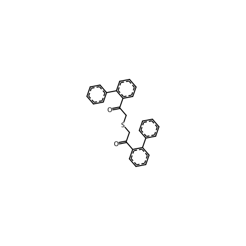 O=C(CSCC(=O)c1ccccc1-c1ccccc1)c1ccccc1-c1ccccc1